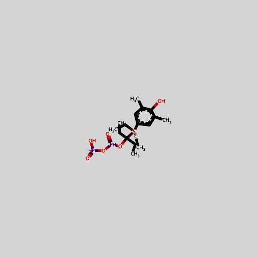 CCC(CC)(O[PH](=O)O[PH](=O)O)S(CC)(CC)c1cc(C)c(O)c(C)c1